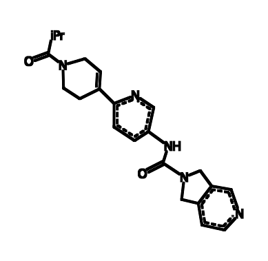 CC(C)C(=O)N1CC=C(c2ccc(NC(=O)N3Cc4ccncc4C3)cn2)CC1